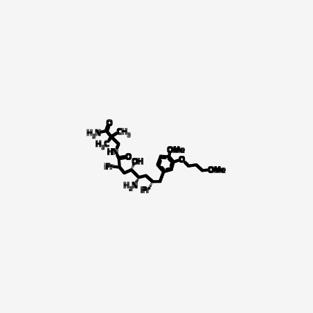 COCCCOc1cc(C[C@@H](C[C@H](N)[C@@H](O)CC(C(=O)NCC(C)(C)C(N)=O)C(C)C)C(C)C)ccc1OC